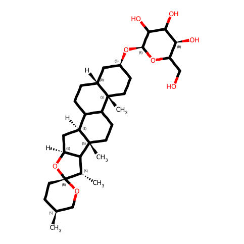 C[C@H]1CC[C@@]2(OC1)O[C@H]1C[C@H]3C4CC[C@@H]5C[C@@H](O[C@@H]6OC(CO)[C@H](O)C(O)C6O)CC[C@]5(C)C4CC[C@]3(C)C1[C@@H]2C